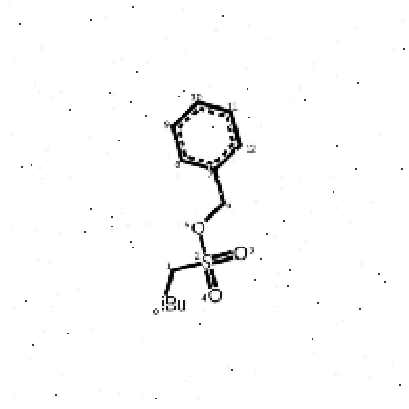 CCC(C)CS(=O)(=O)OCc1ccccc1